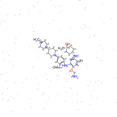 CCc1nc(OCN)c(Nc2ccc(N3CCC(N4CCN(C)CC4)CC3)cc2OC)nc1N[C@H]1CC[C@](C)(O)CC1